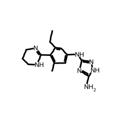 CCc1cc(Nc2n[nH]c(N)n2)cc(C)c1C1=NCCCN1